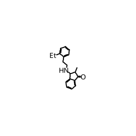 CCc1ccccc1CCNC1c2ccccc2C(=O)C1C